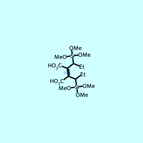 CCC(/C(C(=O)O)=C(/C(=O)O)C(CC)[Si](OC)(OC)OC)[Si](OC)(OC)OC